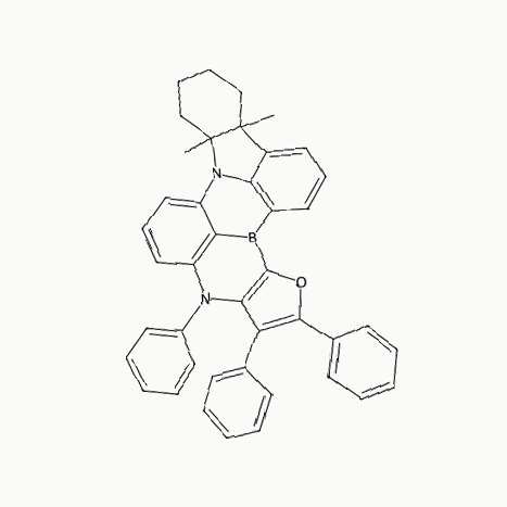 CC12CCCCC1(C)N1c3cccc4c3B(c3cccc2c31)c1oc(-c2ccccc2)c(-c2ccccc2)c1N4c1ccccc1